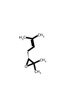 CC(C)=CC[C@H]1OC1(C)C